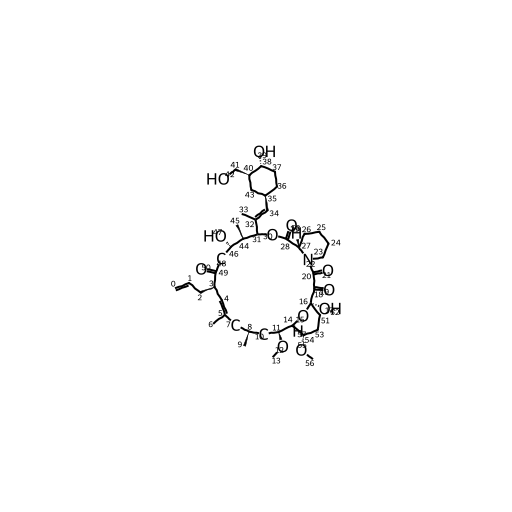 C=CC[C@@H]1/C=C(\C)C[C@H](C)C[C@H](OC)[C@H]2O[C@@](O)(C(=O)C(=O)N3CCCC[C@H]3C(=O)OC(/C(C)=C/[C@@H]3CC[C@@H](O)[C@H](CO)C3)[C@H](C)[C@@H](O)CC1=O)[C@H](C)C[C@@H]2OC